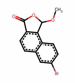 COC1OC(=O)c2ccc3cc(Br)ccc3c21